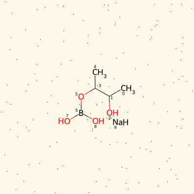 CC(O)C(C)OB(O)O.[NaH]